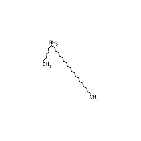 BC(CCCCCC)CCCCCCCCCCCCCCCCCCCC